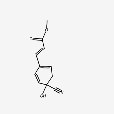 COC(=O)C=CC1=CCC(O)(C#N)C=C1